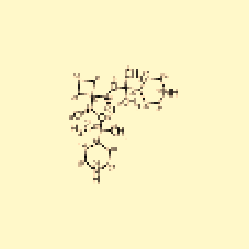 CC(C)(OC(=O)C1(C(=O)OC(C)(C)C2CCNCC2)CCC1)C1CCNCC1